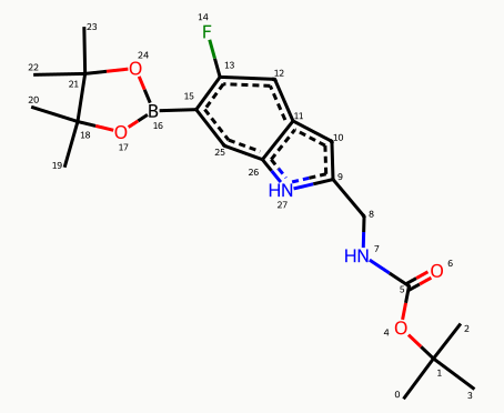 CC(C)(C)OC(=O)NCc1cc2cc(F)c(B3OC(C)(C)C(C)(C)O3)cc2[nH]1